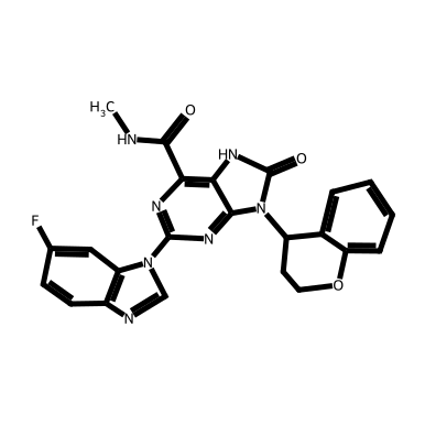 CNC(=O)c1nc(-n2cnc3ccc(F)cc32)nc2c1[nH]c(=O)n2C1CCOc2ccccc21